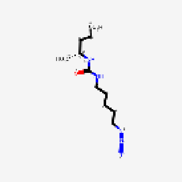 [N-]=[N+]=NCCCCCNC(=O)N[C@@H](CCC(=O)O)C(=O)O